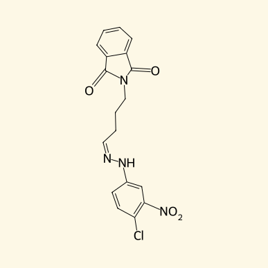 O=C1c2ccccc2C(=O)N1CCC/C=N\Nc1ccc(Cl)c([N+](=O)[O-])c1